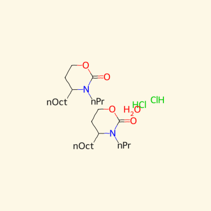 CCCCCCCCC1CCOC(=O)N1CCC.CCCCCCCCC1CCOC(=O)N1CCC.Cl.Cl.O